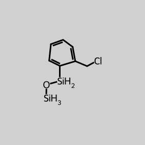 [SiH3]O[SiH2]c1ccccc1CCl